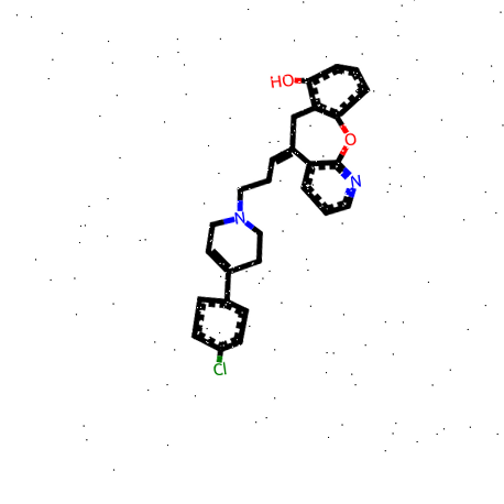 Oc1cccc2c1C/C(=C/CCN1CC=C(c3ccc(Cl)cc3)CC1)c1cccnc1O2